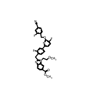 COCCn1c(Cc2ccc(-c3ccc(F)c(OCc4ccc(C#N)cc4F)n3)cc2F)nc2ccc(C(=O)OC)cc21